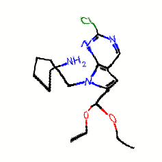 CCOC(OCC)c1cc2cnc(Cl)nc2n1CC1(N)CCCC1